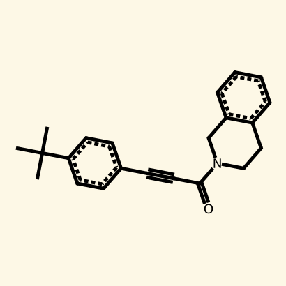 CC(C)(C)c1ccc(C#CC(=O)N2CCc3ccccc3C2)cc1